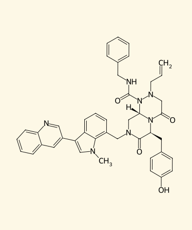 C=CCN1CC(=O)N2[C@@H](Cc3ccc(O)cc3)C(=O)N(Cc3cccc4c(-c5cnc6ccccc6c5)cn(C)c34)C[C@@H]2N1C(=O)NCc1ccccc1